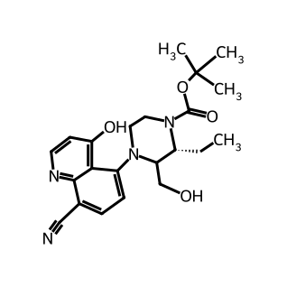 CC[C@@H]1C(CO)N(c2ccc(C#N)c3nccc(O)c23)CCN1C(=O)OC(C)(C)C